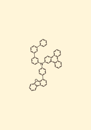 c1ccc(-c2cccc(-c3cccc(N(c4ccc(-c5cccc6c5oc5ccccc56)cc4)c4ccc5c6ccccc6c6ccccc6c5c4)c3)c2)cc1